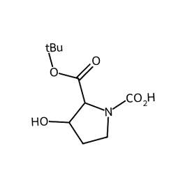 CC(C)(C)OC(=O)C1C(O)CCN1C(=O)O